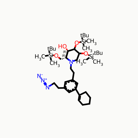 CC(C)(C)[Si](C)(C)OC[C@@H]1[C@@H](O)C(O[Si](C)(C)C(C)(C)C)C(O[Si](C)(C)C(C)(C)C)CN1CCc1cc(CCN=[N+]=[N-])cc(C2=CCCCC2)c1